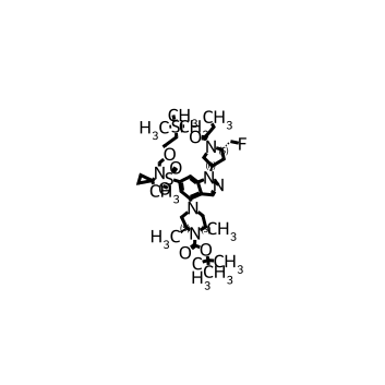 CCC(=O)N1C[C@H](n2ncc3c(N4C[C@H](C)N(C(=O)OC(C)(C)C)[C@@H](C)C4)cc(S(=O)(=O)N(COCC[Si](C)(C)C)C4(C)CC4)cc32)C[C@H]1CF